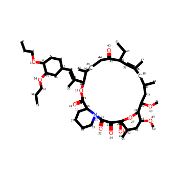 CCCOC1CCC(C=C(C)C2OC(=O)C3CCCCN3C(=O)C(=O)C3(O)OC(C(OC)CC(C)C/C(C)=C/C(CC)C(=O)CCC2C)C(OC)CC3C)CC1OCCC